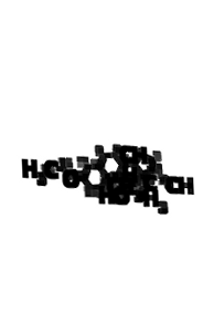 C#C[C@H]1CCC2[C@]3(C)CC=C4C=C(OCC)CC[C@]4(C)[C@H]3[C@@H](O)C[C@@]21C